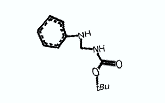 CC(C)(C)OC(=O)NCNc1ccccc1